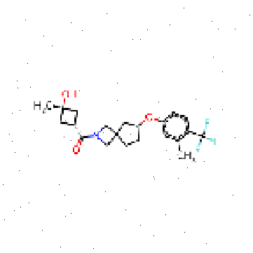 Cc1cc(OC2CCC3(C2)CN(C(=O)[C@H]2C[C@@](C)(O)C2)C3)ccc1C(F)(F)F